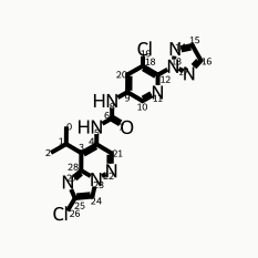 CC(C)c1c(NC(=O)Nc2cnc(-n3nccn3)c(Cl)c2)cnn2cc(Cl)nc12